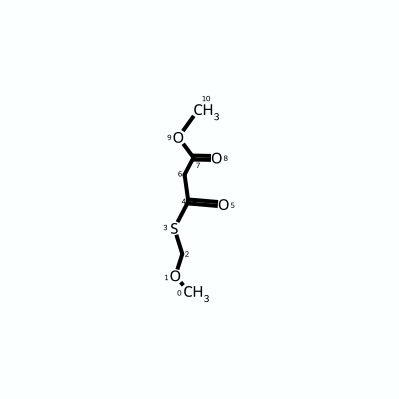 COCSC(=O)CC(=O)OC